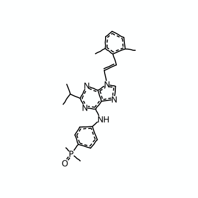 Cc1cccc(C)c1C=Cn1cnc2c(Nc3ccc(P(C)(C)=O)cc3)nc(C(C)C)nc21